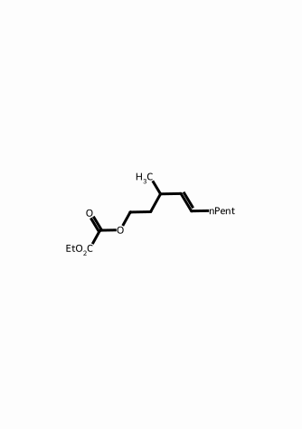 CCCCCC=CC(C)CCOC(=O)C(=O)OCC